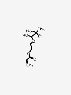 C=CC(=O)OCCOC(O)C(C)(C)CC